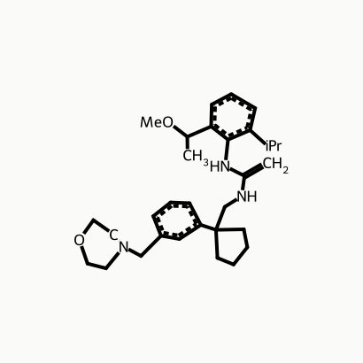 C=C(NCC1(c2cccc(CN3CCOCC3)c2)CCCC1)Nc1c(C(C)C)cccc1C(C)OC